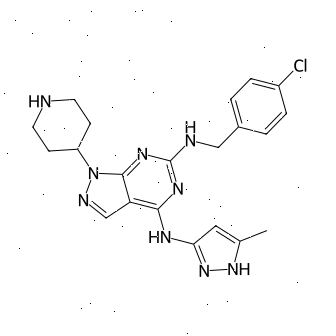 Cc1cc(Nc2nc(NCc3ccc(Cl)cc3)nc3c2cnn3C2CCNCC2)n[nH]1